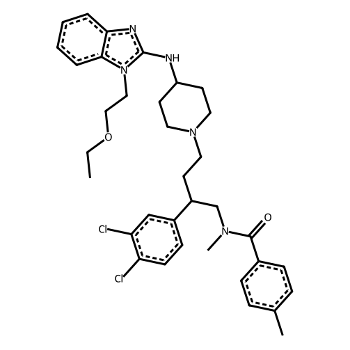 CCOCCn1c(NC2CCN(CCC(CN(C)C(=O)c3ccc(C)cc3)c3ccc(Cl)c(Cl)c3)CC2)nc2ccccc21